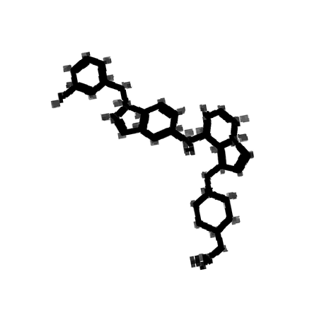 NCC1CCN(Cc2ccn3ncnc(Nc4ccc5c(cnn5Cc5cccc(F)c5)c4)c23)CC1